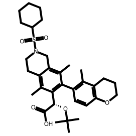 Cc1c(-c2c(C)c3c(c(C)c2[C@H](OC(C)(C)C)C(=O)O)CCN(S(=O)(=O)C2CCCCC2)C3)ccc2c1CCCO2